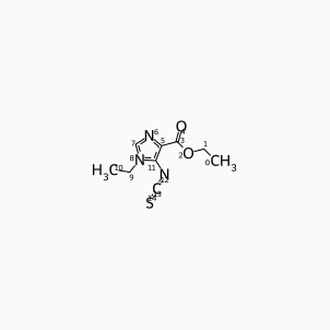 CCOC(=O)c1ncn(CC)c1N=C=S